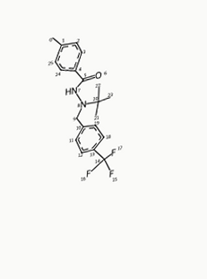 Cc1ccc(C(=O)NN(Cc2ccc(C(F)(F)F)cc2)C(C)(C)C)cc1